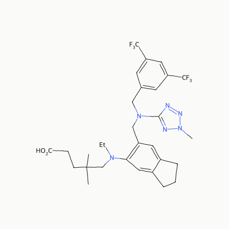 CCN(CC(C)(C)CCC(=O)O)c1cc2c(cc1CN(Cc1cc(C(F)(F)F)cc(C(F)(F)F)c1)c1nnn(C)n1)CCC2